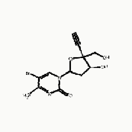 C#C[C@]1(CO)OC(n2cc(Br)c(N)nc2=O)C[C@@H]1O